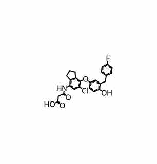 O=C(O)CC(=O)Nc1cc(Cl)c(Oc2ccc(O)c(Cc3ccc(F)cc3)c2)c2c1CCC2